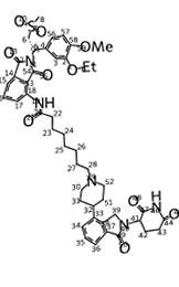 CCOc1cc([C@@H](CS(C)(=O)=O)N2C(=O)c3cccc(NC(=O)CCCCCCCN4CCC(c5cccc6c5CN(C5CCC(=O)NC5=O)C6=O)CC4)c3C2=O)ccc1OC